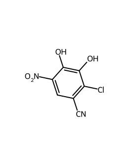 N#Cc1cc([N+](=O)[O-])c(O)c(O)c1Cl